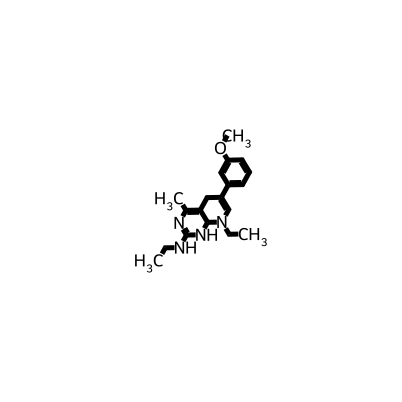 CCNC1=NC(C)=C2CC(c3cccc(OC)c3)=CN(CC)C2N1